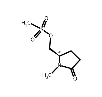 CN1C(=O)CC[C@@H]1COS(C)(=O)=O